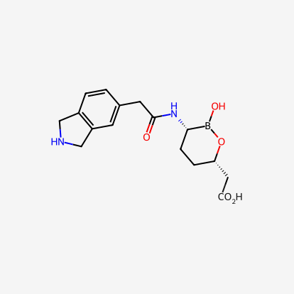 O=C(O)C[C@@H]1CC[C@H](NC(=O)Cc2ccc3c(c2)CNC3)B(O)O1